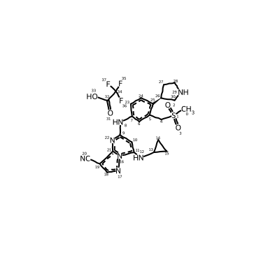 CS(=O)(=O)Cc1cc(Nc2cc(NC3CC3)n3ncc(C#N)c3n2)ccc1[C@H]1CCNC1.O=C(O)C(F)(F)F